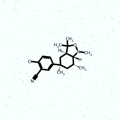 C[C@@H]1C[C@@](C)(c2ccc(Cl)c(C#N)c2)C[C@@H]2[C@@H]1N(C)OC2(C)C